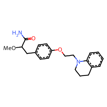 COC(Cc1ccc(OCCN2CCCc3ccccc32)cc1)C(N)=O